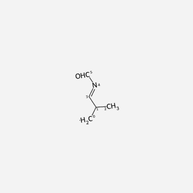 [CH2]C(C)C=NC=O